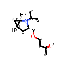 CC(=O)CCOC[C@@H]1C[C@H]2C[C@H]2N1C(C)C